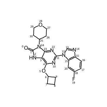 O=c1[nH]c2c(OC3CCC3)nc(-n3cnc4ccc(F)cc43)nc2n1C1CCOCC1